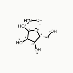 NO.OC[C@H]1OC(O)[C@H](O)[C@@H]1O